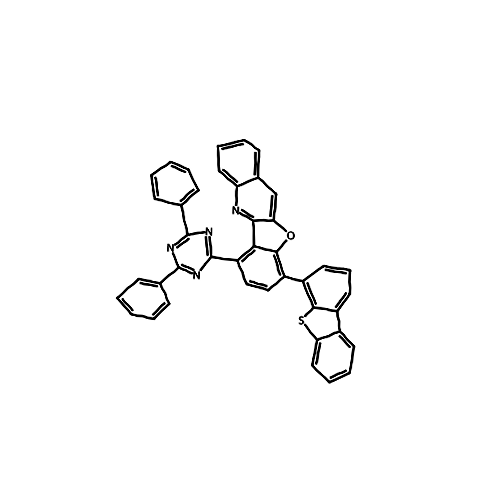 c1ccc(-c2nc(-c3ccccc3)nc(-c3ccc(-c4cccc5c4sc4ccccc45)c4oc5cc6ccccc6nc5c34)n2)cc1